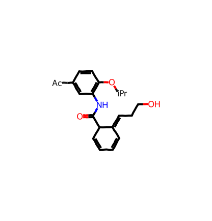 CC(=O)c1ccc(OC(C)C)c(NC(=O)C2C=CC=CC2=CCCO)c1